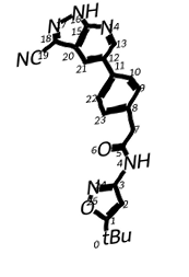 CC(C)(C)c1cc(NC(=O)Cc2ccc(-c3cnc4[nH]nc(C#N)c4c3)cc2)no1